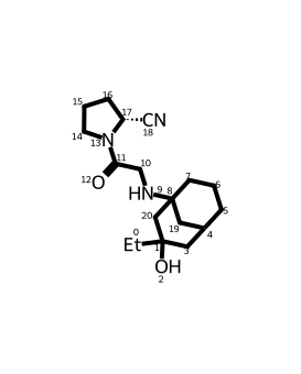 CCC1(O)CC2CCCC(NCC(=O)N3CCC[C@@H]3C#N)(C2)C1